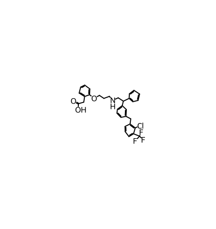 O=C(O)Cc1ccccc1OCCCNCC(c1ccccc1)c1cccc(Cc2cccc(C(F)(F)F)c2Cl)c1